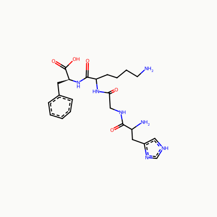 NCCCCC(NC(=O)CNC(=O)C(N)Cc1c[nH]cn1)C(=O)N[C@@H](Cc1ccccc1)C(=O)O